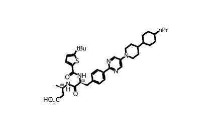 CCCC1CCC(C2CCN(c3cnc(-c4ccc(C[C@H](NC(=O)c5ccc(C(C)(C)C)s5)C(=O)N[C@H](C)CC(=O)O)cc4)nc3)CC2)CC1